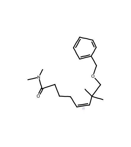 CN(C)C(=O)CCC/C=C\C(C)(C)COCc1ccccc1